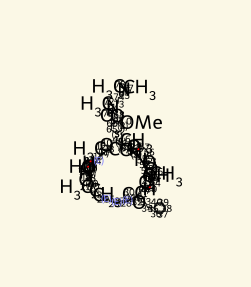 CO[C@@H]1C[C@H](C[C@@H](C)[C@@H]2CC(=O)[C@H](C)/C=C3\CO[C@@H](C(=O)[C@H](C)CC/C=C/C=C/C=C(\C)C(OCCc4ccccc4)C[C@@H]4CC[C@@H](C)[C@@](O)(O4)C(=O)C(=O)N4CCCC[C@H]4C(=O)O2)[C@@H]3O)CC[C@H]1OC(=O)N(C)CCCN(C)C